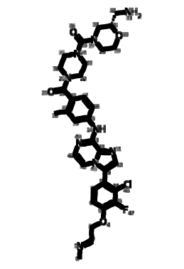 C/N=C/COc1ccc(-c2cnc3c(Nc4ccc(C(=O)N5CCN(C(=O)N6CCO[C@@H](CN)C6)CC5)c(C)c4)nccn23)c(Cl)c1F